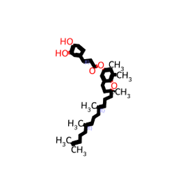 CC(C)=CCC/C(C)=C/CC/C(C)=C/CC[C@]1(C)CCc2cc(OC(=O)/C=C/c3ccc(O)c(O)c3)c(C)c(C)c2O1